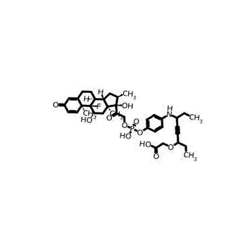 CCC(C#CC(CC)OCC(=O)O)Nc1ccc(OP(=O)(O)OCC(=O)[C@@]2(O)[C@H](C)C[C@H]3[C@@H]4CCC5=CC(=O)C=C[C@]5(C)[C@@]4(F)[C@@H](O)C[C@@]32C)cc1